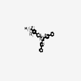 CCC(C)(C)c1ccc(-c2ccc(-c3nc(-c4ccc(-c5ccccc5)cn4)cc(-c4ccc(-c5ccccc5)cn4)n3)nc2)cc1